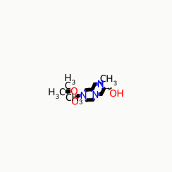 CN1CC2CN(C(=O)OC(C)(C)C)CCN2C[C@H]1CO